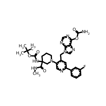 CNC(=O)C1(NC(=O)OC(C)(C)C)CCCN(c2cnc(-c3cccc(F)c3)cc2Cn2cnc3c(OC(N)=O)ncnc32)C1